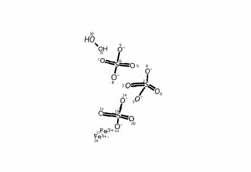 O=S(=O)([O-])[O-].O=S(=O)([O-])[O-].O=S(=O)([O-])[O-].OO.[Fe+3].[Fe+3]